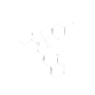 CCC(C)N(CC=Cc1ccccc1OC)S(=O)(=O)c1ccc(Cl)cc1